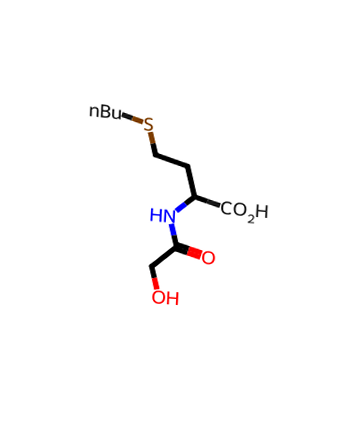 CCCCSCCC(NC(=O)CO)C(=O)O